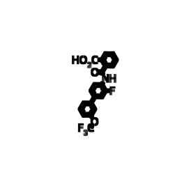 O=C(O)c1ccccc1C(=O)Nc1ccc(-c2cccc(OC(F)(F)F)c2)cc1F